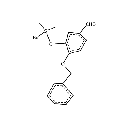 CC(C)(C)[Si](C)(C)Oc1cc(C=O)ccc1OCc1ccccc1